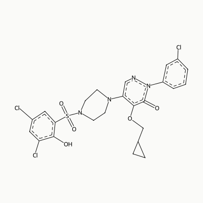 O=c1c(OCC2CC2)c(N2CCN(S(=O)(=O)c3cc(Cl)cc(Cl)c3O)CC2)cnn1-c1cccc(Cl)c1